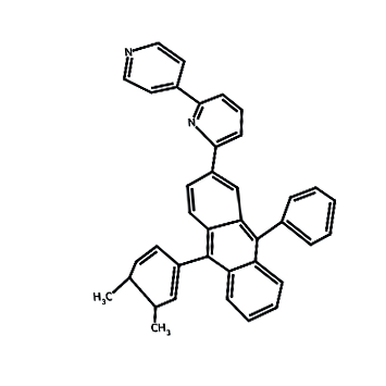 CC1C=CC(c2c3ccccc3c(-c3ccccc3)c3cc(-c4cccc(-c5ccncc5)n4)ccc23)=CC1C